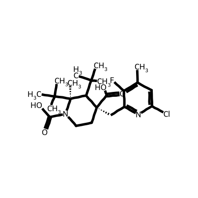 Cc1cc(Cl)nc(C[C@]2(C(=O)O)CCN(C(=O)O)[C@@](C)(C(C)(C)C)C2C(C)(C)C)c1F